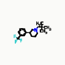 CC(C)(C)CN1CCCC(c2c[c]cc(C(F)(F)F)c2)C1